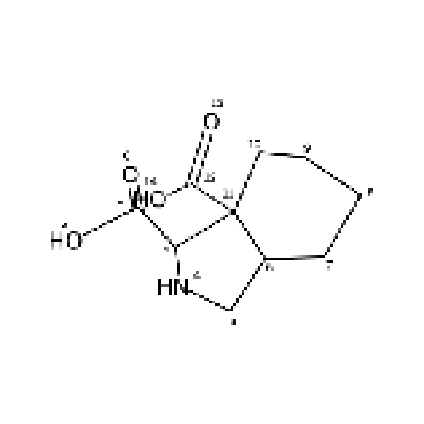 O=C(O)C1NCC2CCCCC21C(=O)O